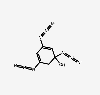 [N-]=[N+]=NC1=CC(O)(N=[N+]=[N-])CC(N=[N+]=[N-])=C1